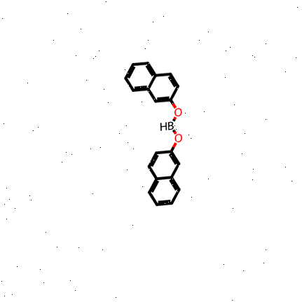 B(Oc1ccc2ccccc2c1)Oc1ccc2ccccc2c1